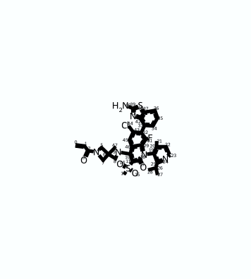 C=CC(=O)N1CC2(C1)CN(c1c(S(C)(=O)=O)c(=O)n(-c3c(C)ccnc3C(C)C)c3c(F)c(-c4cccc5sc(N)nc45)c(Cl)cc13)C2